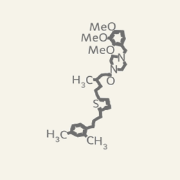 COc1ccc(CN2CCN(C(=O)CC(C)CCc3ccc(CCCc4ccc(C)cc4C)s3)CC2)c(OC)c1OC